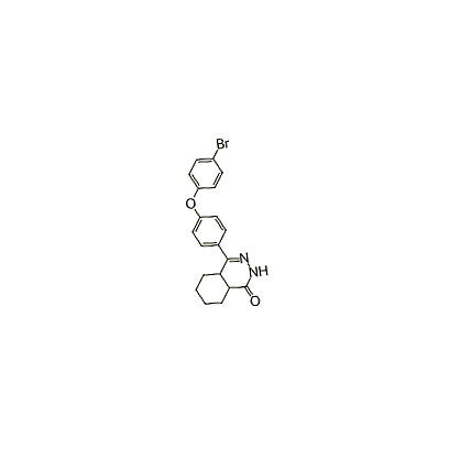 O=C1NN=C(c2ccc(Oc3ccc(Br)cc3)cc2)C2CCCCC12